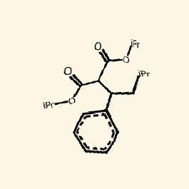 CC(C)CC(c1ccccc1)C(C(=O)OC(C)C)C(=O)OC(C)C